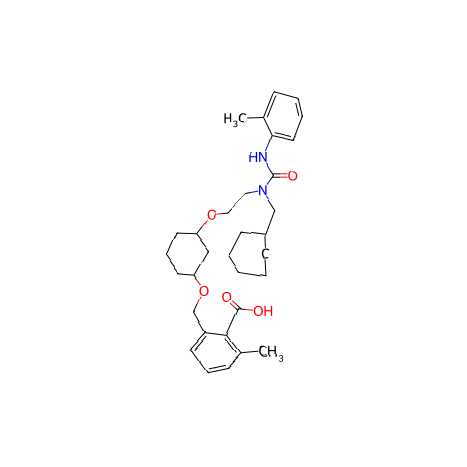 Cc1ccccc1NC(=O)N(CCOC1CCCC(OCc2cccc(C)c2C(=O)O)C1)CC1CCCCC1